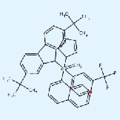 [CH2]=[Zr]([c]1cccc(C(F)(F)F)c1)([c]1cccc2ccccc12)([CH]1C=CC=C1)[CH]1c2cc(C(C)(C)C)ccc2-c2ccc(C(C)(C)C)cc21